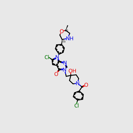 C[C@H]1CN[C@@H](c2ccc(-n3c(Cl)cc4c(=O)n(CC5(O)CCN(C(=O)c6ccc(Cl)cc6)CC5)cnc43)cc2)CO1